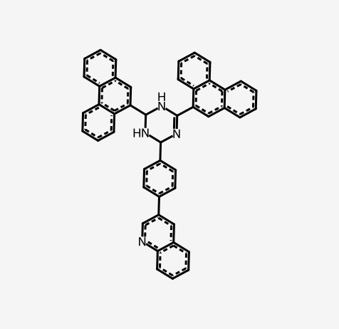 c1ccc2ncc(-c3ccc(C4N=C(c5cc6ccccc6c6ccccc56)NC(c5cc6ccccc6c6ccccc56)N4)cc3)cc2c1